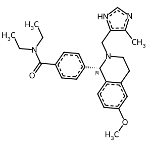 CCN(CC)C(=O)c1ccc([C@H]2c3ccc(OC)cc3CCN2Cc2[nH]cnc2C)cc1